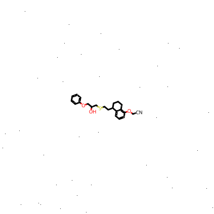 N#CCOc1cccc2c1CCCC2CCSCC(O)COc1ccccc1